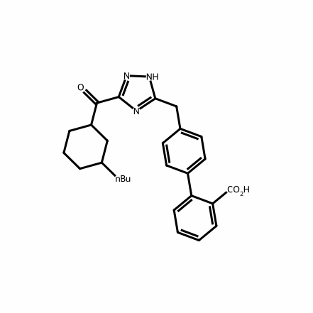 CCCCC1CCCC(C(=O)c2n[nH]c(Cc3ccc(-c4ccccc4C(=O)O)cc3)n2)C1